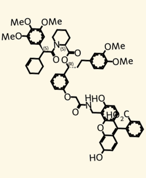 COc1ccc(CC[C@@H](OC(=O)[C@@H]2CCCCN2C(=O)[C@H](c2cc(OC)c(OC)c(OC)c2)C2C=CCCC2)c2cccc(OCC(=O)NCc3c(O)ccc4c3OC3=CC(O)C=CC3=C4c3ccccc3C(=O)O)c2)cc1OC